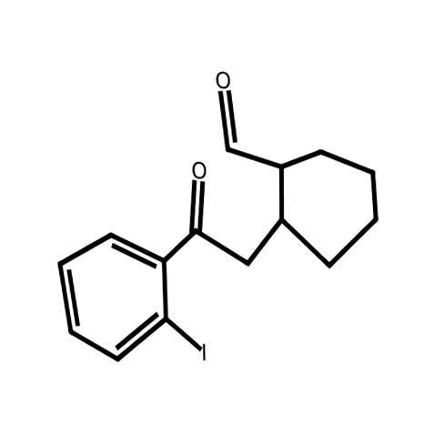 O=CC1CCCCC1CC(=O)c1ccccc1I